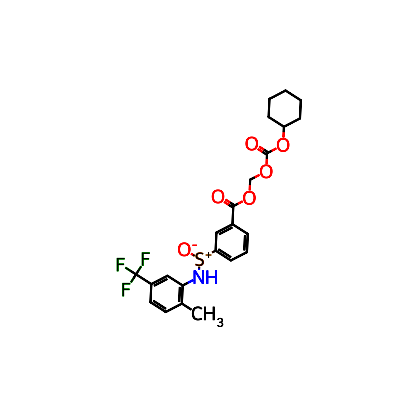 Cc1ccc(C(F)(F)F)cc1N[S+]([O-])c1cccc(C(=O)OCOC(=O)OC2CCCCC2)c1